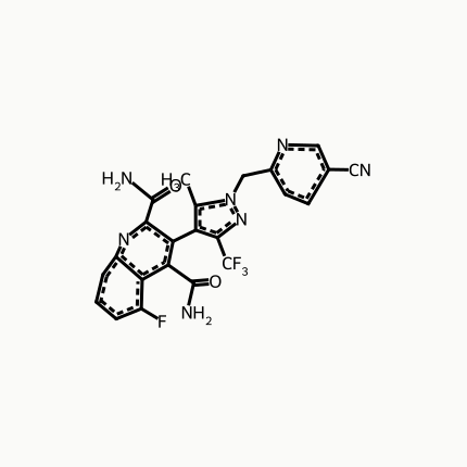 Cc1c(-c2c(C(N)=O)nc3cccc(F)c3c2C(N)=O)c(C(F)(F)F)nn1Cc1ccc(C#N)cn1